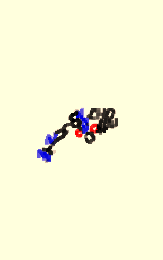 Cn1cc(-c2ccc(Cc3cc4c(c5ncccc35)N(CC=O)CN([C@H]3CCCC[C@@H]3O[Si](C)(C)C(C)(C)C)C4=O)cn2)cn1